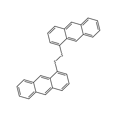 c1ccc2cc3c(SSc4cccc5cc6ccccc6cc45)cccc3cc2c1